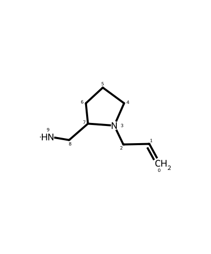 C=CCN1CCCC1C[NH]